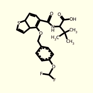 CC(C)(C)C(NC(=O)C1=C(OCc2ccc(OC(F)F)cc2)C2C=CSC2C=C1)C(=O)O